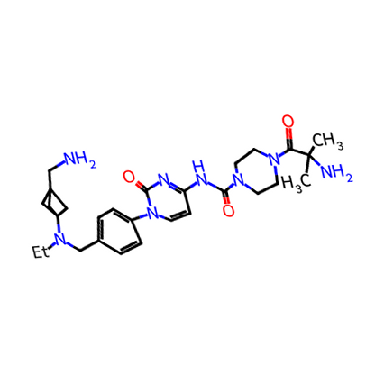 CCN(Cc1ccc(-n2ccc(NC(=O)N3CCN(C(=O)C(C)(C)N)CC3)nc2=O)cc1)C12CC(CN)(C1)C2